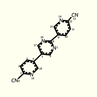 [C-]#[N+]c1ccc(-c2cnc(-c3ccc(C#N)nc3)nc2)cn1